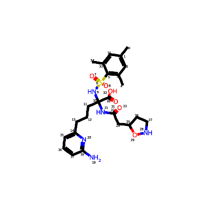 Cc1cc(C)c(S(=O)(=O)NC(CCCc2cccc(N)n2)(NC(=O)CC2CCNO2)C(=O)O)c(C)c1